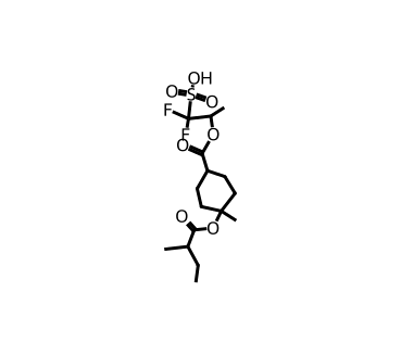 CCC(C)C(=O)OC1(C)CCC(C(=O)OC(C)C(F)(F)S(=O)(=O)O)CC1